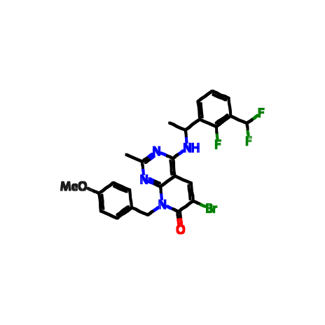 COc1ccc(Cn2c(=O)c(Br)cc3c(NC(C)c4cccc(C(F)F)c4F)nc(C)nc32)cc1